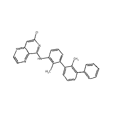 Cc1c(Nc2nc(Cl)cc3nccnc23)cccc1-c1cccc(-c2ccccc2)c1C